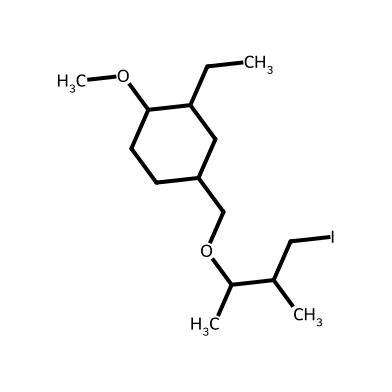 CCC1CC(COC(C)C(C)CI)CCC1OC